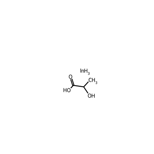 CC(O)C(=O)O.[InH3]